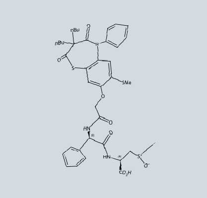 CCCCC1(CCCC)C(=O)Sc2cc(OCC(=O)N[C@@H](C(=O)N[C@@H](C[S+](C)[O-])C(=O)O)c3ccccc3)c(SC)cc2N(c2ccccc2)C1=O